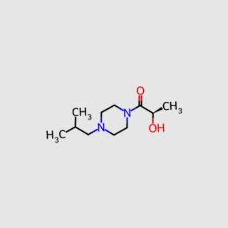 CC(C)CN1CCN(C(=O)[C@@H](C)O)CC1